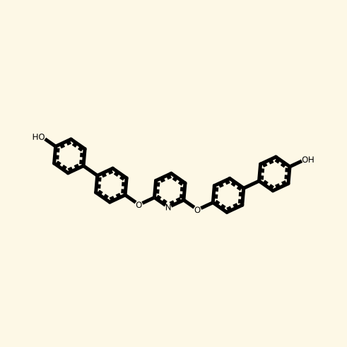 Oc1ccc(-c2ccc(Oc3cccc(Oc4ccc(-c5ccc(O)cc5)cc4)n3)cc2)cc1